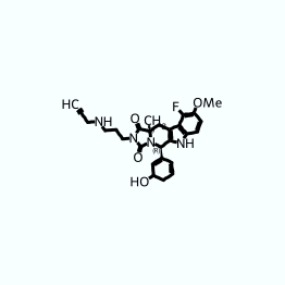 C#CCNCCCN1C(=O)N2[C@H](C3=CC(O)CC=C3)c3[nH]c4ccc(OC)c(F)c4c3C[C@@]2(C)C1=O